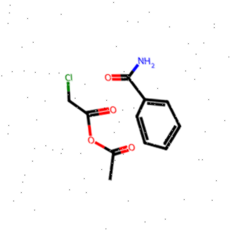 CC(=O)OC(=O)CCl.NC(=O)c1ccccc1